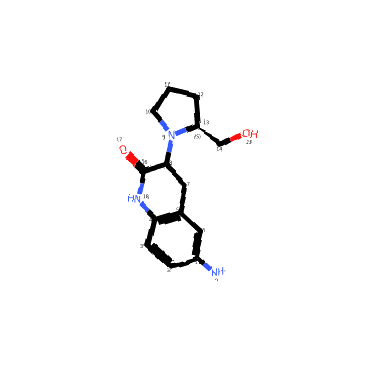 [NH]c1ccc2c(c1)CC(N1CCC[C@H]1CO)C(=O)N2